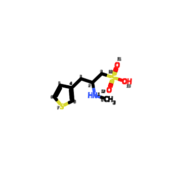 CNC(Cc1ccsc1)CS(=O)(=O)O